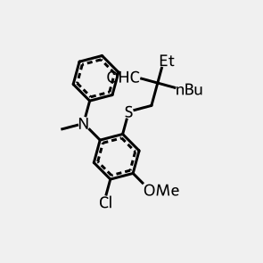 CCCCC(C=O)(CC)CSc1cc(OC)c(Cl)cc1N(C)c1ccccc1